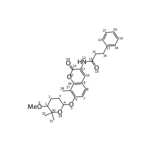 COC1CCC(Oc2ccc3cc(NC(=O)CCc4ccccc4)c(=O)oc3c2C)OC1(C)C